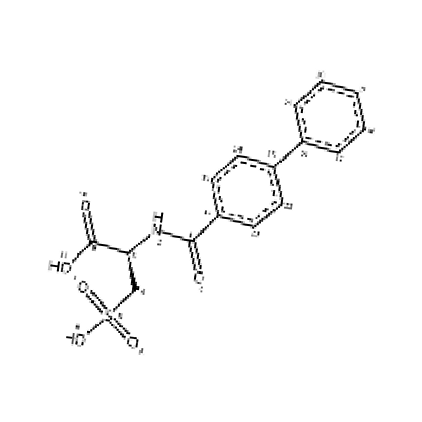 O=C(N[C@@H](CS(=O)(=O)O)C(=O)O)c1ccc(-c2ccccc2)cc1